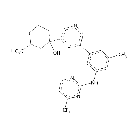 Cc1cc(Nc2nccc(C(F)(F)F)n2)cc(-c2cncc(C3(O)CCCC(C(=O)O)C3)c2)c1